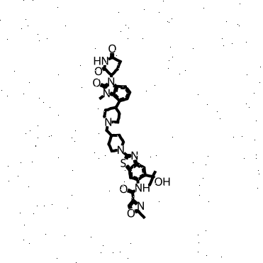 Cc1nc(C(=O)Nc2cc3sc(N4CCC(CN5CCC(c6cccc7c6n(C)c(=O)n7C6CCC(=O)NC6=O)CC5)CC4)nc3cc2C(C)(C)O)co1